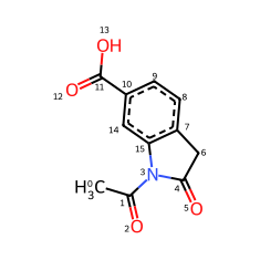 CC(=O)N1C(=O)Cc2ccc(C(=O)O)cc21